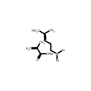 C=C(C)C(=O)OC.CCN(CC)CCC=C(C)C(=O)O